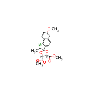 COC(=O)[C@@H]1OC(c2ccc3cc(OC)ccc3c2)(C(C)Br)O[C@H]1C(=O)OC